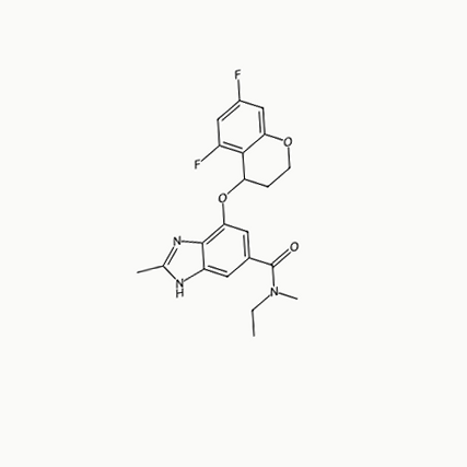 CCN(C)C(=O)c1cc(OC2CCOc3cc(F)cc(F)c32)c2nc(C)[nH]c2c1